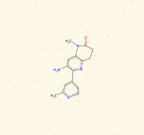 Cc1cc(-c2nc3c(cc2N)N(C)C(=O)CC3)ccn1